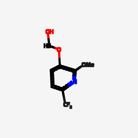 COc1nc(C(F)(F)F)ccc1OBO